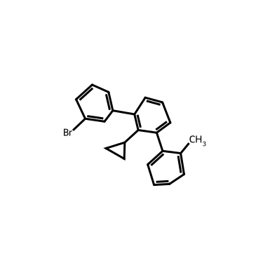 Cc1ccccc1-c1cccc(-c2cccc(Br)c2)c1C1CC1